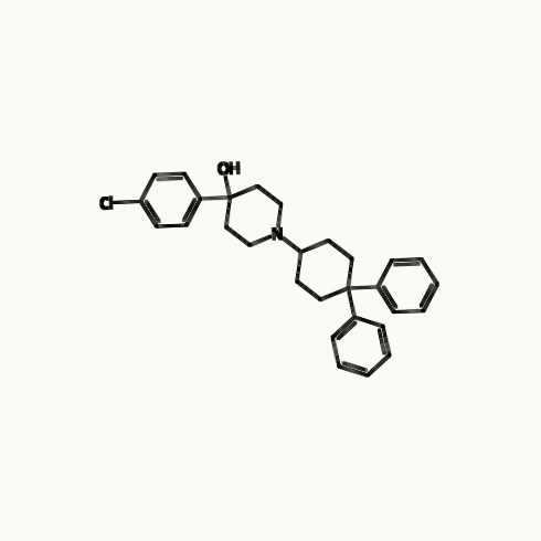 OC1(c2ccc(Cl)cc2)CCN(C2CCC(c3ccccc3)(c3ccccc3)CC2)CC1